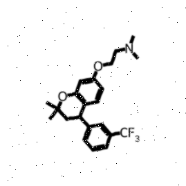 CN(C)CCOc1ccc2c(c1)OC(C)(C)CC2c1cccc(C(F)(F)F)c1